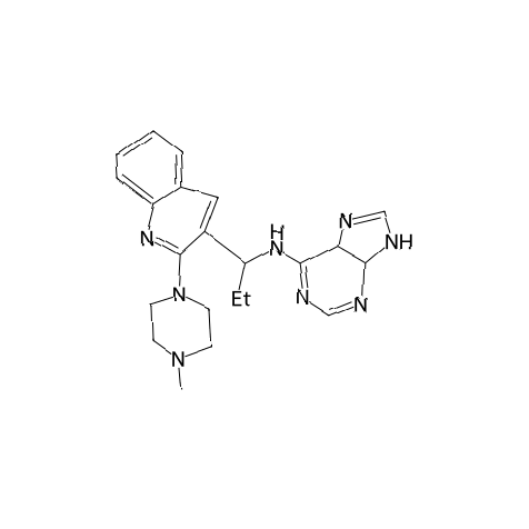 CCC(NC1=NC=NC2NC=NC12)c1cc2ccccc2nc1N1CCN(C)CC1